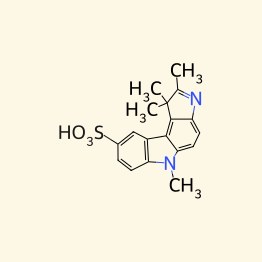 CC1=Nc2ccc3c(c2C1(C)C)c1cc(S(=O)(=O)O)ccc1n3C